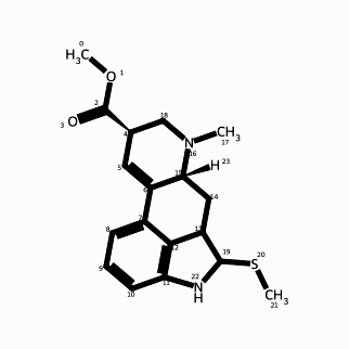 COC(=O)[C@@H]1C=C2c3cccc4c3C(C[C@H]2N(C)C1)C(SC)N4